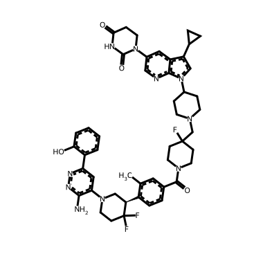 Cc1cc(C(=O)N2CCC(F)(CN3CCC(n4cc(C5CC5)c5cc(N6CCC(=O)NC6=O)cnc54)CC3)CC2)ccc1[C@@H]1CN(c2cc(-c3ccccc3O)nnc2N)CCC1(F)F